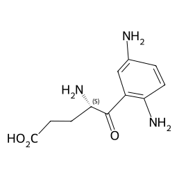 Nc1ccc(N)c(C(=O)[C@@H](N)CCC(=O)O)c1